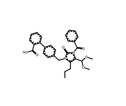 CCCc1c(C(OC)OC)n(C(=O)c2ccccc2)c(=O)n1Cc1ccc(-c2ccccc2C(=O)O)cc1